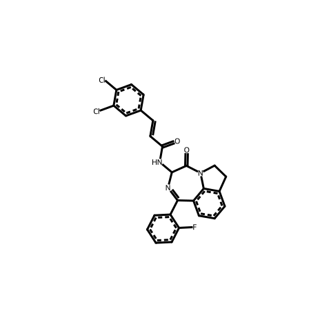 O=C(/C=C/c1ccc(Cl)c(Cl)c1)NC1N=C(c2ccccc2F)c2cccc3c2N(CC3)C1=O